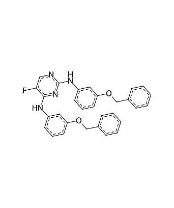 Fc1cnc(Nc2cccc(OCc3ccccc3)c2)nc1Nc1cccc(OCc2ccccc2)c1